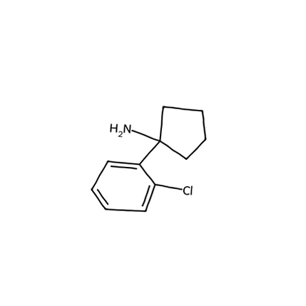 NC1(c2ccccc2Cl)CCCC1